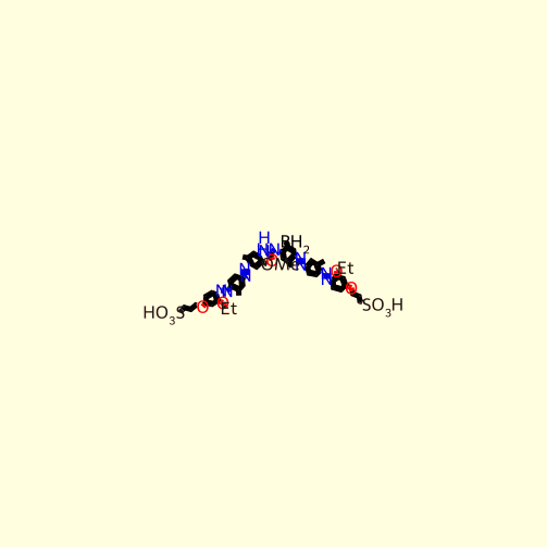 Bc1cc(N=Nc2ccc(N=Nc3ccc(OCCCS(=O)(=O)O)cc3OCC)c(C)c2)c(C)cc1NC(=O)Nc1cc(C)c(N=Nc2ccc(N=Nc3ccc(OCCCS(=O)(=O)O)cc3OCC)c(C)c2)cc1OC